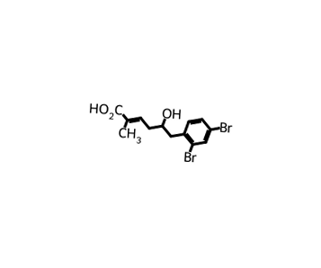 CC(=CCC(O)Cc1ccc(Br)cc1Br)C(=O)O